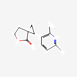 Cc1nc(Br)ccc1[C@H]1C[C@@]12CCOC2=O